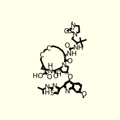 COc1ccc2c(O[C@@H]3C[C@H]4C(=O)N[C@]5(C(=O)O)CC5CCCCCCC[C@H](NC(=O)NC(CN5CCN(C)[S+]5[O-])C(C)(C)C)C(=O)N4C3)cc(-c3csc(NC(C)C)n3)nc2c1